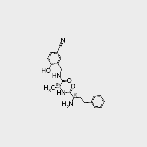 C[C@H](NC(=O)[C@H](N)CCc1ccccc1)C(=O)NCc1cc(C#N)ccc1O